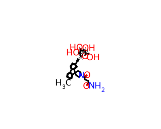 Cc1ccc2c(c1)C1(CCN(C(=O)CCC(N)=O)CC1)c1cc(C#C[C@H]3O[C@H](CO)[C@@H](O)[C@H](O)[C@@H]3O)ccc1-2